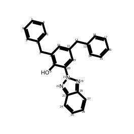 Oc1c(Cc2ccccc2)cc(Cc2ccccc2)cc1-n1nc2ccccc2n1